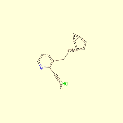 C#Cc1ncccc1COC.Cl.c1cc2cc-2c1